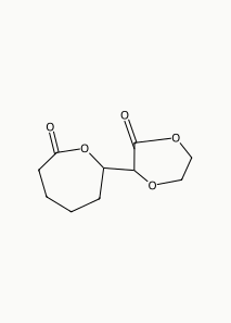 O=C1CCCCC(C2OCCOC2=O)O1